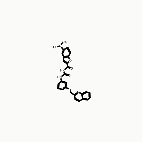 CN(C)c1ccc2oc(C(=O)NC(=S)Nc3cccc(OCc4ccc5ccccc5n4)c3)cc2c1